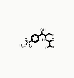 CS(=O)(=O)c1ccc(C(O)C(CF)NC(=O)C(F)F)cc1